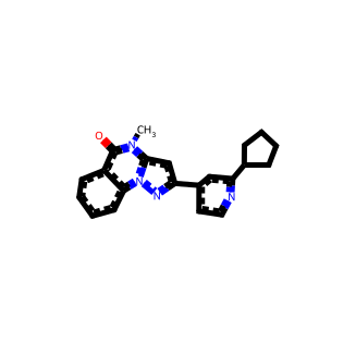 Cn1c(=O)c2ccccc2n2nc(-c3ccnc(C4CCCC4)c3)cc12